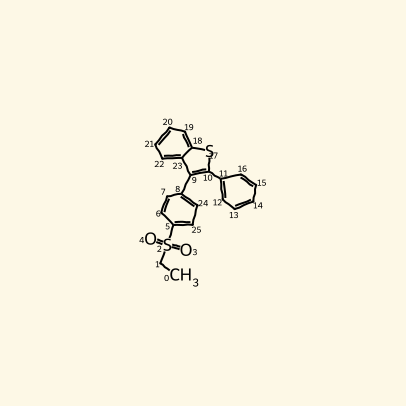 CCS(=O)(=O)c1ccc(-c2c(-c3ccccc3)sc3ccccc23)cc1